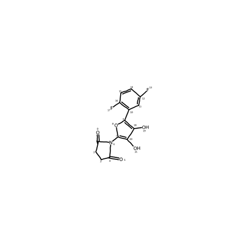 O=C1CCC(=O)N1c1oc(-c2cc(F)ccc2F)c(O)c1O